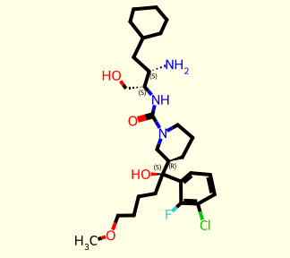 COCCCC[C@@](O)(c1cccc(Cl)c1F)[C@@H]1CCCN(C(=O)N[C@H](CO)[C@@H](N)CC2CCCCC2)C1